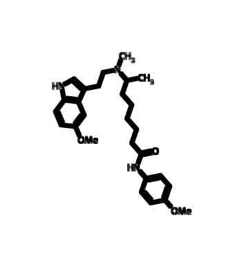 COc1ccc(NC(=O)CCCCCC(C)N(C)CCc2c[nH]c3ccc(OC)cc23)cc1